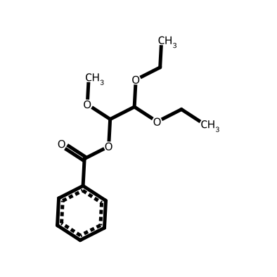 CCOC(OCC)C(OC)OC(=O)c1ccccc1